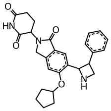 O=C1CCC(N2Cc3cc(OC4CCCC4)c(C4NCC4c4ccccc4)cc3C2=O)C(=O)N1